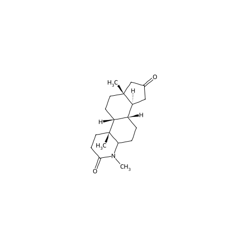 CN1C(=O)CC[C@@]2(C)C1CC[C@@H]1[C@H]2CC[C@]2(C)CC(=O)C[C@@H]12